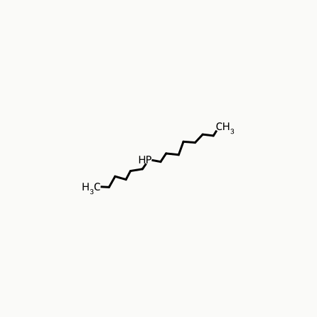 CCCCCCCCPCCCCCC